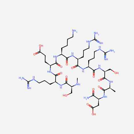 CN[C@@H](CO)C(=O)N[C@@H](CCCNC(=N)N)C(=O)N[C@@H](CCC(=O)O)C(=O)N[C@@H](CCCCN)C(=O)N[C@@H](CCCNC(=N)N)C(=O)N[C@@H](CCCNC(=N)N)C(=O)N[C@@H](CO)C(=O)N[C@@H](C)C(=O)N[C@@H](CC(=O)O)C(N)=O